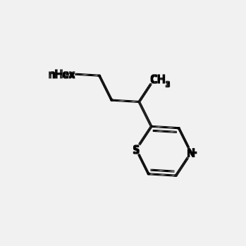 CCCCCCCCC(C)C1=C[N]C=CS1